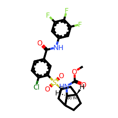 COC(=O)N[C@@H]1C2CC[C@H]1C[C@H](S(=O)(=O)c1cc(C(=O)Nc3cc(F)c(F)c(F)c3)ccc1Cl)C2